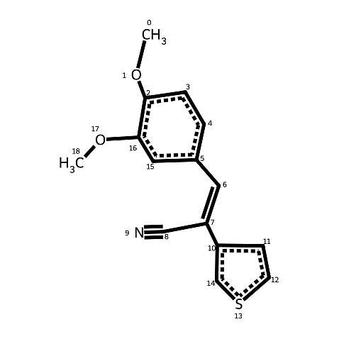 COc1ccc(C=C(C#N)c2ccsc2)cc1OC